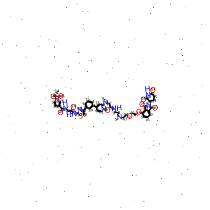 CN(CCNC(=O)CN(C)c1cc(-c2cccc(-c3csc(NC(=O)CNC(=O)c4ccn(S(C)(=O)=O)c4)n3)c2)ccn1)CCOCCOc1cccc2c1C(=O)N(C1CCC(=O)NC1=O)C2=O